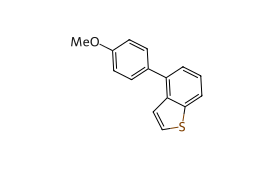 COc1ccc(-c2cccc3sccc23)cc1